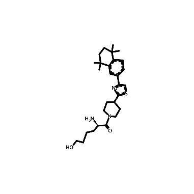 CC1(C)CCC(C)(C)c2cc(-c3csc(C4CCN(C(=O)[C@H](N)CCCCO)CC4)n3)ccc21